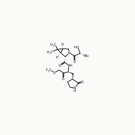 CC(C)(C)[C@@H](O)C(=O)N1C[C@H]2[C@@H]([C@H]1C(=O)N[C@@H](C[C@@H]1CCNC1=O)C(=O)COC(F)(F)F)C2(C)C